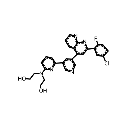 OCCN(CCO)c1cccc(-c2cncc(-c3cc(-c4cc(Cl)ccc4F)nc4ncccc34)c2)n1